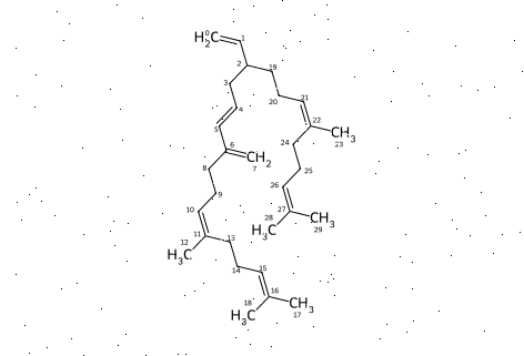 C=CC(CC=CC(=C)CCC=C(C)CCC=C(C)C)CCC=C(C)CCC=C(C)C